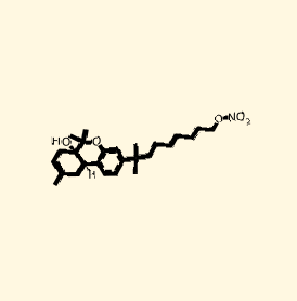 CC1=CC[C@@]2(O)[C@H](C1)c1ccc(C(C)(C)CCCCCCCO[N+](=O)[O-])cc1OC2(C)C